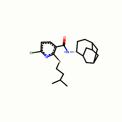 CC(C)CCSc1nc(Cl)ccc1C(=O)N[C@@H]1CCC2CC3CC2CC1C3